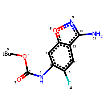 CC(C)(C)OC(=O)Nc1cc2onc(N)c2cc1F